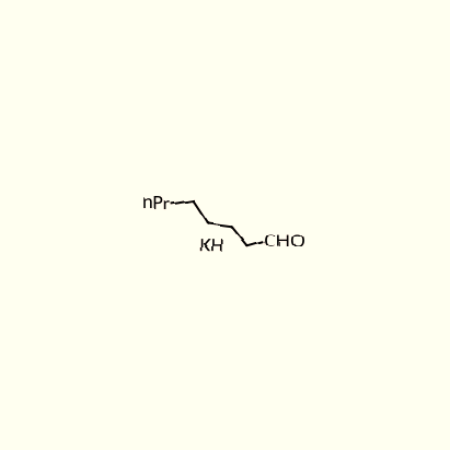 CCCCCCCC=O.[KH]